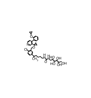 C[C@H](CCCCNC(=O)NC[C@H](O)[C@@H](O)[C@H](O)[C@H](O)CO)c1ccc(Cl)c(COC2(c3cnccc3-c3ccccc3OC3CC3)CC2)c1